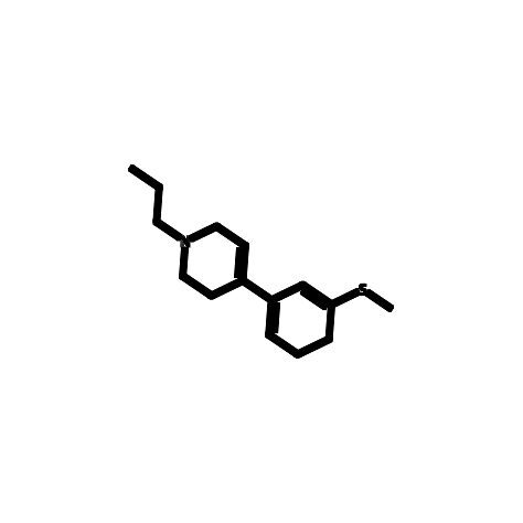 CCCN1CC=C(C2=CCCC(SC)=C2)CC1